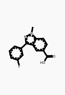 Cn1nc(-c2cccc(F)c2)c2cc(C(=O)O)ccc21